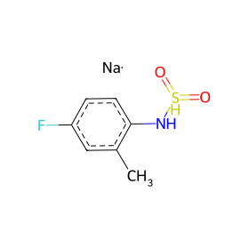 Cc1cc(F)ccc1N[SH](=O)=O.[Na]